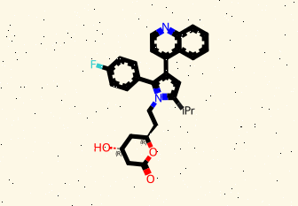 CC(C)c1cc(-c2ccnc3ccccc23)c(-c2ccc(F)cc2)n1CC[C@@H]1C[C@@H](O)CC(=O)O1